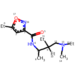 CCc1cc(C(=O)NC(C)C(CC)(CC)CN(C)CC)no1